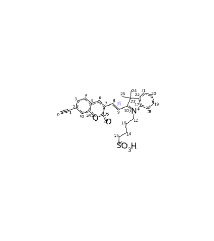 C#Cc1ccc2cc(/C=C/C3=[N+](CCCCS(=O)(=O)O)c4ccccc4C3(C)C)c(=O)oc2c1